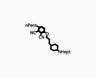 CCCCCCCC1CCC(CCCOc2ccc(CCCCC)c(C#N)c2C#N)CC1